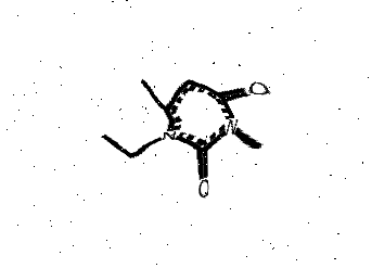 CCn1c(C)cc(=O)n(C)c1=O